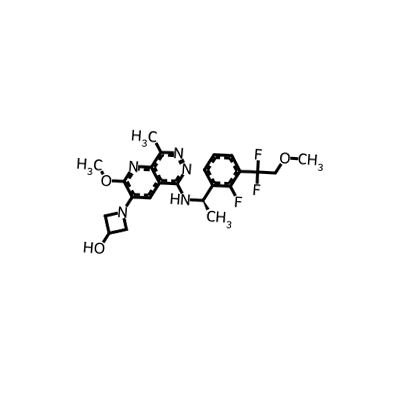 COCC(F)(F)c1cccc([C@@H](C)Nc2nnc(C)c3nc(OC)c(N4CC(O)C4)cc23)c1F